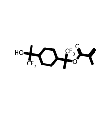 C=C(C)C(=O)OC(C)(C1CCC(C(C)(O)C(F)(F)F)CC1)C(F)(F)F